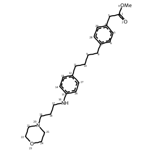 COC(=O)Cc1ccc(CCCCc2ccc(NCCCN3CCOCC3)cc2)cc1